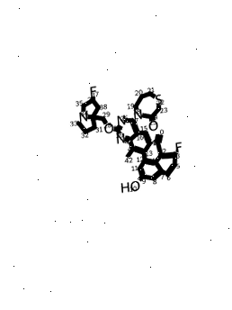 C#Cc1c(F)ccc2cc(O)cc(-c3ccc4c(N5CCCSCC5=O)nc(OCC56CCCN5CC(F)C6)nc4c3C)c12